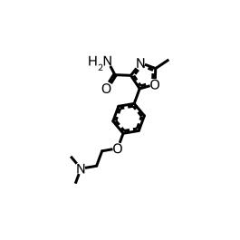 Cc1nc(C(N)=O)c(-c2ccc(OCCN(C)C)cc2)o1